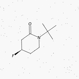 CC(C)(C)N1CC[C@@H](F)CC1=O